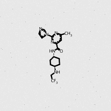 Cc1cc(C(=O)N[C@H]2CC[C@H](NCC(F)(F)F)CC2)nc(-n2ccnc2)n1